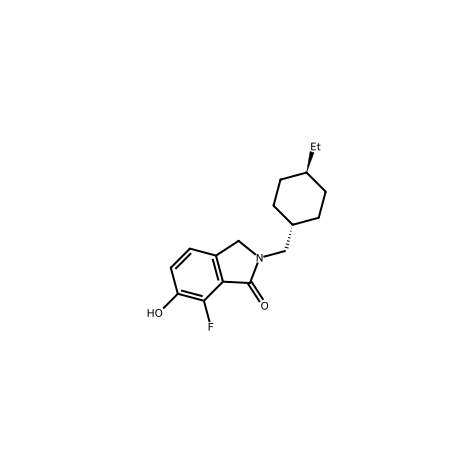 CC[C@H]1CC[C@H](CN2Cc3ccc(O)c(F)c3C2=O)CC1